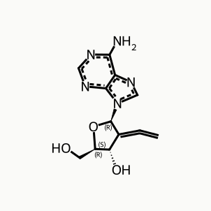 C=C=C1[C@H](n2cnc3c(N)ncnc32)O[C@H](CO)[C@H]1O